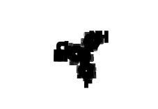 Fc1ccc(-n2cc(N3CCNCC3)c3cc(Cl)ccc32)cc1.[H+].[H+]